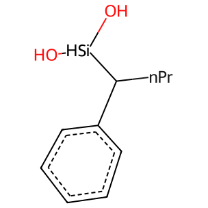 CCCC(c1ccccc1)[SiH](O)O